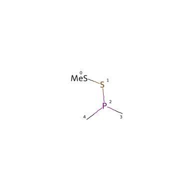 CSSP(C)C